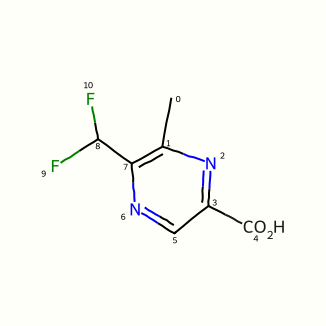 Cc1nc(C(=O)O)cnc1C(F)F